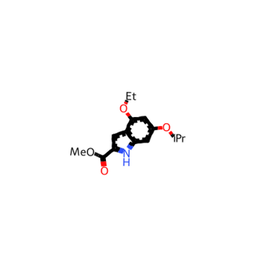 CCOc1cc(OC(C)C)cc2[nH]c(C(=O)OC)cc12